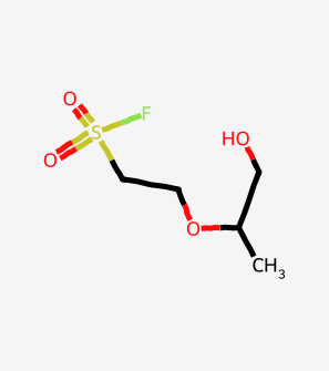 CC(CO)OCCS(=O)(=O)F